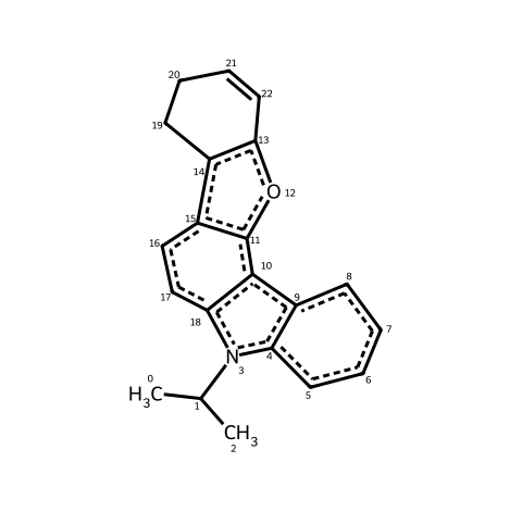 CC(C)n1c2ccccc2c2c3oc4c(c3ccc21)CCC=C4